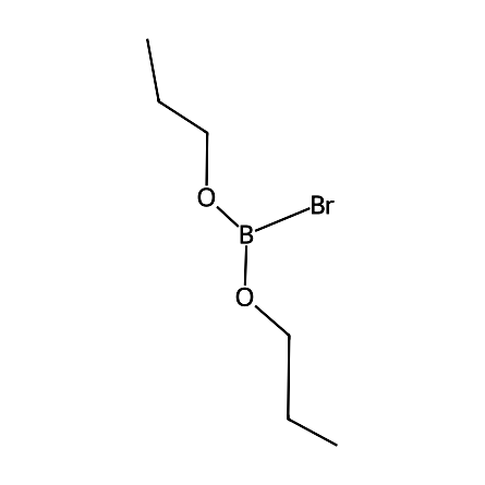 CCCOB(Br)OCCC